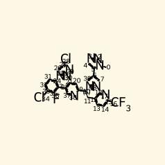 Cn1nncc1-c1cnn([C@@H](Cc2ccc(C(F)(F)F)nc2)c2ccc(-c3c(-n4cc(Cl)nn4)ccc(Cl)c3F)cn2)c1